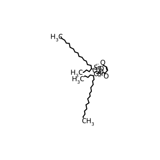 CCCCCCCCCCCCCCCC(CCCC)[O][Sn][O]C(=O)/C=C\C(=O)[O][Sn][O]C(CCCC)CCCCCCCCCCCCCCC